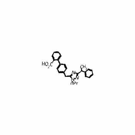 CCCn1nc(C(C)c2ccccc2)nc1Cc1ccc(-c2ccccc2C(=O)O)cc1